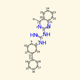 Cc1nc(NC(=N)Nc2cccc(-c3ccccc3)c2)nc2ccccc12